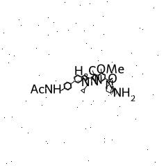 COc1cc(C(=O)N2CCC[C@@H](N)C2)cn2nc(-c3cc4ccc(-c5ccc(CNC(C)=O)cc5)cc4n3CC3CC3)c(C)c12